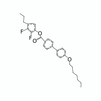 CCCCCCCOc1ccc(-c2ccc(C(=O)Oc3ccc(CCC)c(F)c3F)cc2)cc1